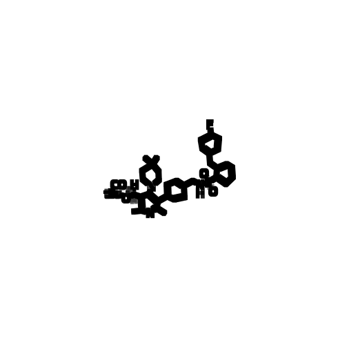 Cc1nc(C)c([C@H](OC(C)(C)C)C(=O)O)c(N2CCC(C)(C)CC2)c1-c1ccc(CNS(=O)(=O)c2ccccc2Cc2ccc(F)cc2)cc1